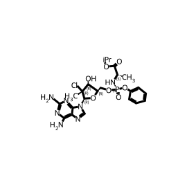 CC(C)OC(=O)[C@H](C)N[P@](=O)(OC[C@H]1O[C@@H](n2cnc3c(N)nc(N)nc32)[C@](C)(Cl)[C@@H]1O)Oc1ccccc1